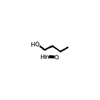 CCCCO.[O]=[InH]